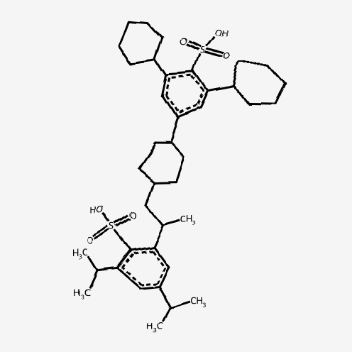 CC(C)c1cc(C(C)C)c(S(=O)(=O)O)c(C(C)CC2CCC(c3cc(C4CCCCC4)c(S(=O)(=O)O)c(C4CCCCC4)c3)CC2)c1